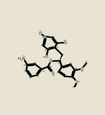 COc1ccc([C@H](Cc2c(Cl)c[n+]([O-])cc2Cl)OC(=O)c2cccc(N)c2)cc1OC